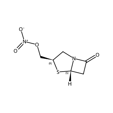 O=C1C[C@@H]2S[C@@H](CO[N+](=O)[O-])CN12